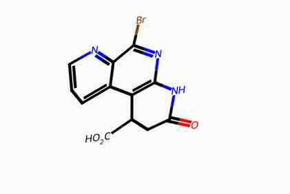 O=C1CC(C(=O)O)c2c(nc(Br)c3ncccc23)N1